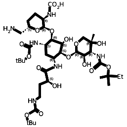 CCC(C)(C)OC(=O)N[C@@H]1[C@@H](O)[C@@H](O[C@@H]2[C@@H](O)[C@H](O[C@H]3O[C@H](CN)CC[C@H]3NC(=O)O)[C@@H](NC(=O)OC(C)(C)C)C[C@H]2NC(=O)[C@@H](O)CCNC(=O)OC(C)(C)C)OC[C@]1(C)O